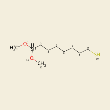 CO[SiH](CCCCCCCS)OC